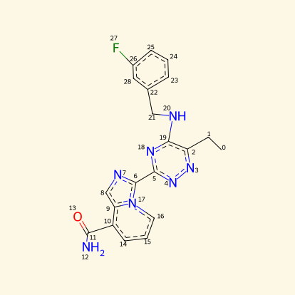 CCc1nnc(-c2ncc3c(C(N)=O)cccn23)nc1NCc1cccc(F)c1